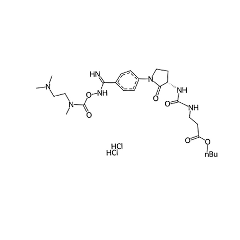 CCCCOC(=O)CCNC(=O)N[C@H]1CCN(c2ccc(C(=N)NOC(=O)N(C)CCN(C)C)cc2)C1=O.Cl.Cl